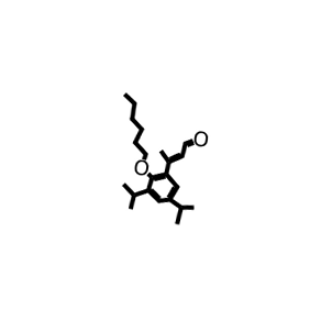 CCCCCCOc1c(/C(C)=C/C=O)cc(C(C)C)cc1C(C)C